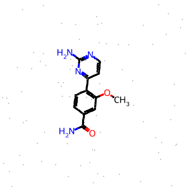 COc1cc(C(N)=O)ccc1-c1ccnc(N)n1